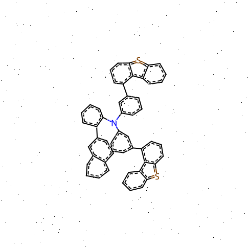 c1cc(-c2cccc3sc4ccccc4c23)cc(N(c2cccc(-c3cccc4sc5ccccc5c34)c2)c2ccccc2-c2ccc3ccccc3c2)c1